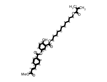 C=C(C)C(=O)OCCCCCCCCCCCOC(=O)c1cc(OC(=O)c2ccc(C=CC(=O)OC)cc2)ccc1O